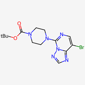 CC(C)(C)OC(=O)N1CCN(c2ncc(Br)c3ncnn23)CC1